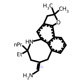 CCCC1(CC)C/C(=C\N)Cc2cccc3c4c(cc(c23)N1)CC(C)(C)O4